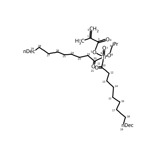 C=C(C)C(=O)[O][Ti](=[O])([O]C(C)C)([C](=O)CCCCCCCCCCCCCCCCC)[C](=O)CCCCCCCCCCCCCCCCC